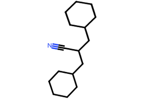 N#CC(CC1CCCCC1)CC1CCCCC1